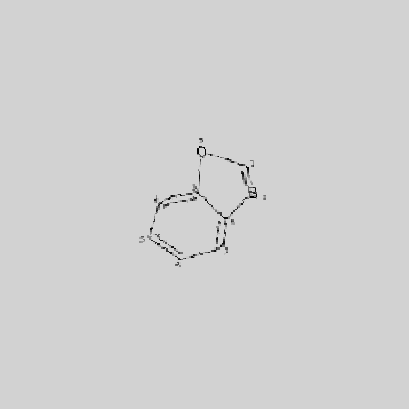 b1coc2ccccc12